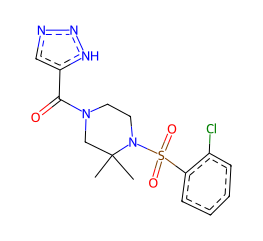 CC1(C)CN(C(=O)c2cnn[nH]2)CCN1S(=O)(=O)c1ccccc1Cl